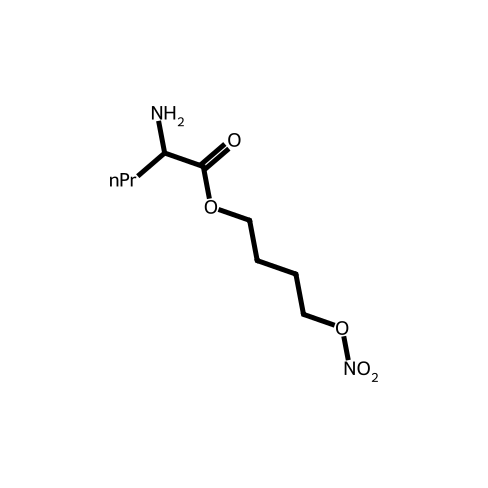 CCCC(N)C(=O)OCCCCO[N+](=O)[O-]